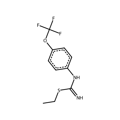 CCSC(=N)Nc1ccc(OC(F)(F)F)cc1